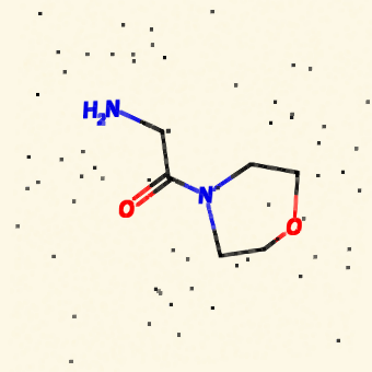 N[CH]C(=O)N1CCOCC1